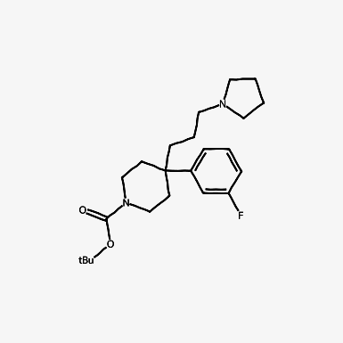 CC(C)(C)OC(=O)N1CCC(CCCN2CCCC2)(c2cccc(F)c2)CC1